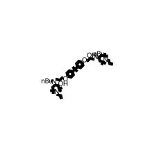 C=CCN1C(C)(C)CC(N(CCCC)CC(O)COc2ccc(C(C)(C)c3ccc(OCC(O)CN(CCCC)C4CC(C)(C)N(CC=C)C(C)(C)C4)cc3)cc2)CC1(C)C